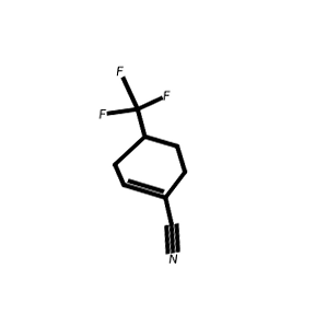 N#CC1=CCC(C(F)(F)F)CC1